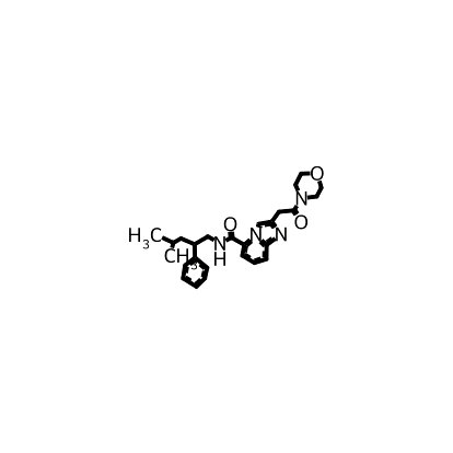 CC(C)CC(CNC(=O)c1cccc2nc(CC(=O)N3CCOCC3)cn12)c1ccccc1